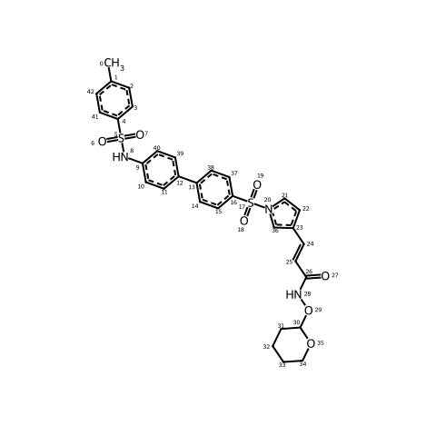 Cc1ccc(S(=O)(=O)Nc2ccc(-c3ccc(S(=O)(=O)n4ccc(C=CC(=O)NOC5CCCCO5)c4)cc3)cc2)cc1